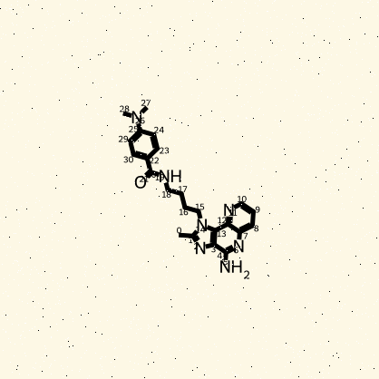 Cc1nc2c(N)nc3cccnc3c2n1CCCCNC(=O)c1ccc(N(C)C)cc1